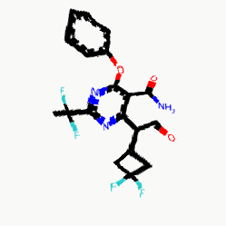 CC(F)(F)c1nc(Oc2ccccc2)c(C(N)=O)c(C(C=O)C2CC(F)(F)C2)n1